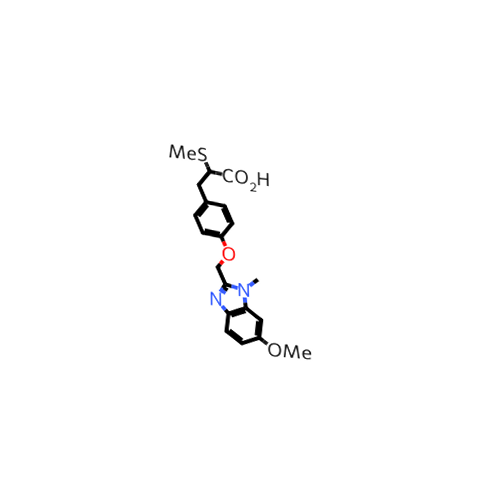 COc1ccc2nc(COc3ccc(CC(SC)C(=O)O)cc3)n(C)c2c1